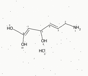 Cl.NCC=CC(O)C=C(O)O